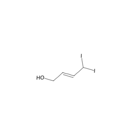 OCC=CC(I)I